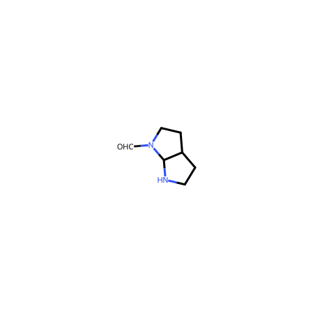 O=CN1CCC2CCNC21